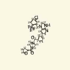 O=C(c1cccc(-c2cnc3c(c2)N(Cc2cc(Cl)ccc2C(F)(F)F)CCN3)c1)N1CCN(C(=O)C2CCCO2)CC1